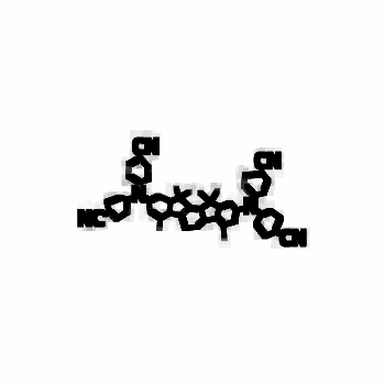 CC1=CC(N(c2ccc(C#N)cc2)c2ccc(C#N)cc2)=CC2C1c1ccc3c(c1C2(C)C)C(C)(C)c1cc(N(c2ccc(C#N)cc2)c2ccc(C#N)cc2)cc(C)c1-3